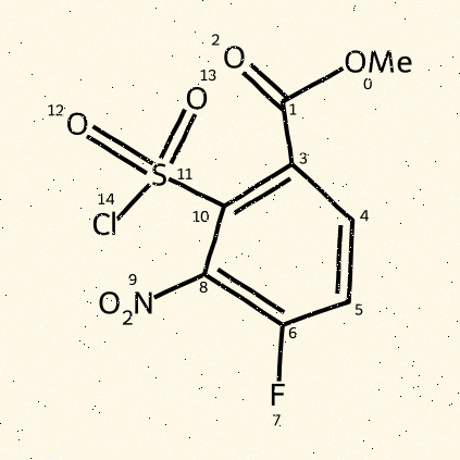 COC(=O)c1ccc(F)c([N+](=O)[O-])c1S(=O)(=O)Cl